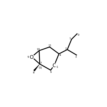 CCC(C)C1CC[C@]2(C)OC2C1